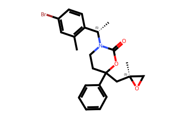 Cc1cc(Br)ccc1[C@H](C)N1CCC(C[C@@]2(C)CO2)(c2ccccc2)OC1=O